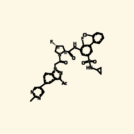 CC(=O)c1nn(CC(=O)N2C[C@H](F)C[C@H]2C(=O)Nc2cc(S(=O)(=O)NC3CC3)cc(-c3ccccc3Cl)c2F)c2ccc(-c3cnc(C)nc3)cc12